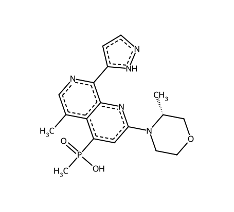 Cc1cnc(-c2ccn[nH]2)c2nc(N3CCOC[C@H]3C)cc(P(C)(=O)O)c12